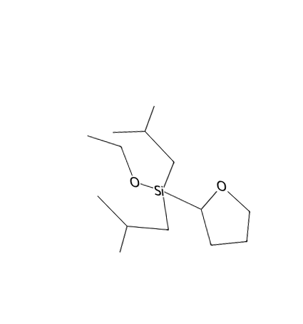 CCO[Si](CC(C)C)(CC(C)C)C1CCCO1